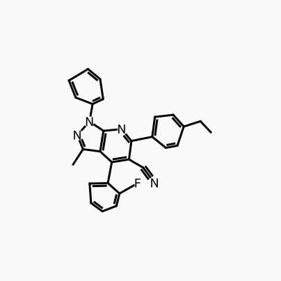 CCc1ccc(-c2nc3c(c(C)nn3-c3ccccc3)c(-c3ccccc3F)c2C#N)cc1